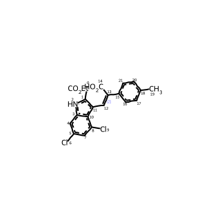 CCOC(=O)c1[nH]c2cc(Cl)cc(Cl)c2c1/C=C(\C(=O)O)c1ccc(C)cc1